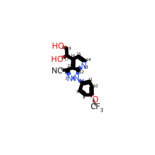 N#Cc1nn(-c2ccc(OC(F)(F)F)cc2)c2nccc(C(O)CO)c12